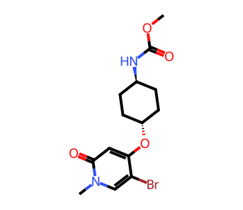 COC(=O)N[C@H]1CC[C@H](Oc2cc(=O)n(C)cc2Br)CC1